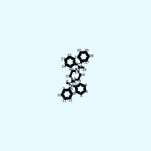 C[Si](c1ccccc1)(c1ccccc1)N1CCN([Si](C)(c2ccccc2)c2ccccc2)CC1